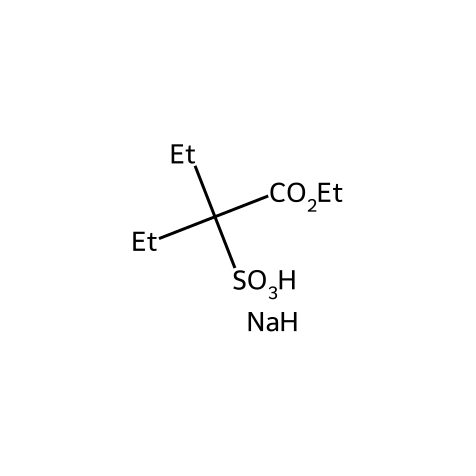 CCOC(=O)C(CC)(CC)S(=O)(=O)O.[NaH]